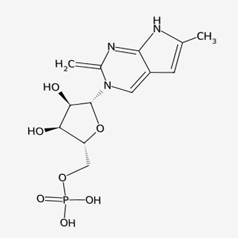 C=C1N=c2[nH]c(C)cc2=CN1[C@@H]1O[C@H](COP(=O)(O)O)[C@@H](O)[C@H]1O